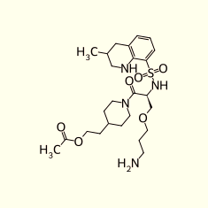 CC(=O)OCCC1CCN(C(=O)[C@H](COCCCN)NS(=O)(=O)c2cccc3c2NCC(C)C3)CC1